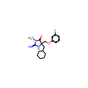 CN1C(=N)NC(COc2cccc(F)c2)(CC2CCCCC2)C1=O